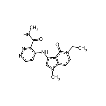 CCn1ccc2c(c(Nc3ccnnc3C(=O)NC)cn2C)c1=O